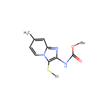 CCSc1c(NC(=O)OC(C)(C)C)nc2cc(C)ccn12